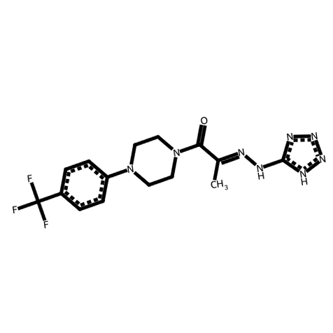 C/C(=N\Nc1nnn[nH]1)C(=O)N1CCN(c2ccc(C(F)(F)F)cc2)CC1